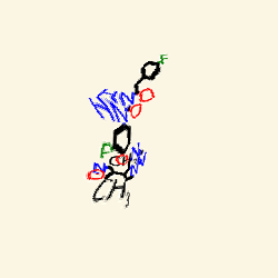 Cc1noc(C)c1-c1ccn2ncnc(Oc3ccc(NC(=O)NC(=O)Cc4ccc(F)cc4)cc3F)c12